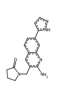 Nc1nc2cc(-c3ccn[nH]3)ccc2cc1CN1CCCC1=O